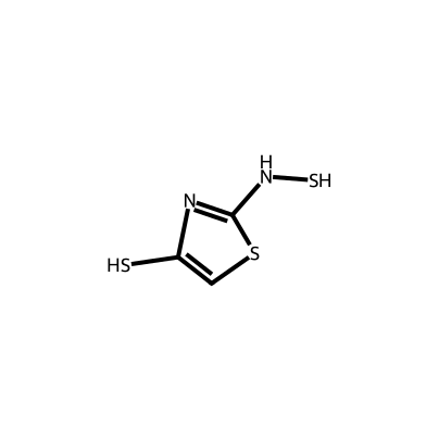 SNc1nc(S)cs1